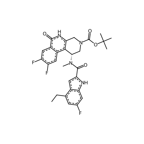 CCc1cc(F)cc2[nH]c(C(=O)N(C)[C@H]3CN(C(=O)OC(C)(C)C)Cc4[nH]c(=O)c5cc(F)c(F)cc5c43)cc12